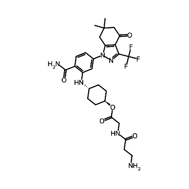 CC1(C)CC(=O)c2c(C(F)(F)F)nn(-c3ccc(C(N)=O)c(N[C@H]4CC[C@H](OC(=O)CNC(=O)CCN)CC4)c3)c2C1